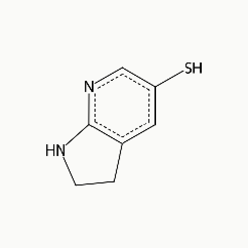 Sc1cnc2c(c1)CCN2